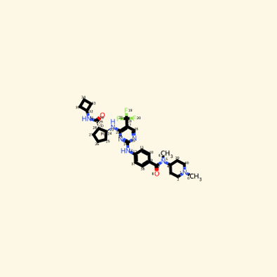 CN1CCC(N(C)C(=O)c2ccc(Nc3ncc(C(F)(F)F)c(N[C@@H]4CCC[C@@H]4C(=O)NC4CCC4)n3)cc2)CC1